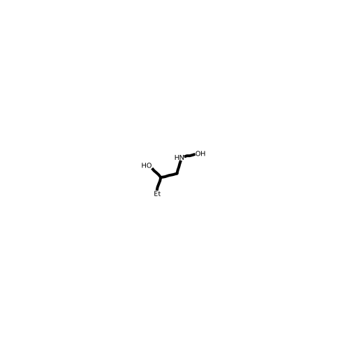 CCC(O)CNO